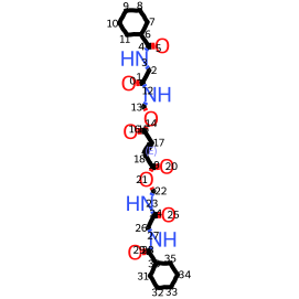 O=C(CNC(=O)C1CCCCC1)NCOC(=O)/C=C/C(=O)OCNC(=O)CNC(=O)C1CCCCC1